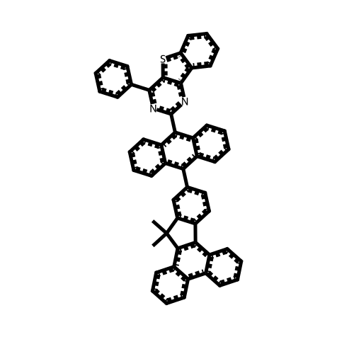 CC1(C)c2cc(-c3c4ccccc4c(-c4nc(-c5ccccc5)c5sc6ccccc6c5n4)c4ccccc34)ccc2-c2c1c1ccccc1c1ccccc21